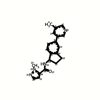 Cc1cncc(-c2ccc3c(c2)CCC3NC(=O)c2ccnn2C)c1